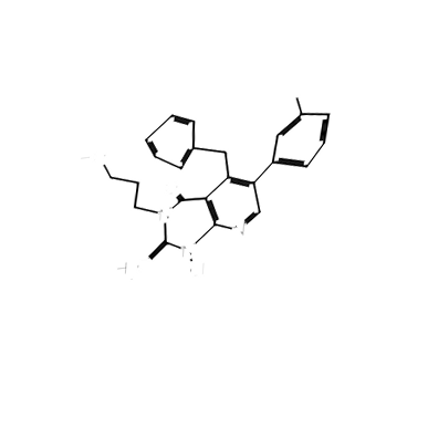 C=C1N(CCCO)C(=O)c2c(ncc(-c3cccc(F)c3)c2Cc2ccccc2)N1C